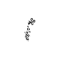 O=C(NCc1cccc(OCCCOc2ncn(C(c3ccccc3)(c3ccccc3)c3ccccc3)n2)c1)c1nc2scc(-c3cccc(F)c3)c2c(=O)[nH]1